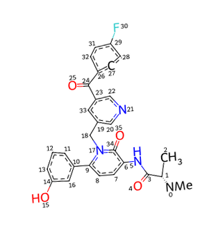 CN[C@@H](C)C(=O)Nc1ccc(-c2cccc(O)c2)n(Cc2cncc(C(=O)c3ccc(F)cc3)c2)c1=O